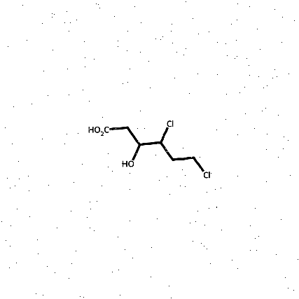 O=C(O)CC(O)C(Cl)CCCl